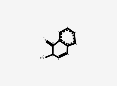 CC(C)(C)C1C=Cc2ccccc2C1=O